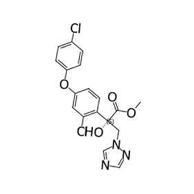 COC(=O)[C@@](O)(Cn1cncn1)c1ccc(Oc2ccc(Cl)cc2)cc1Cl